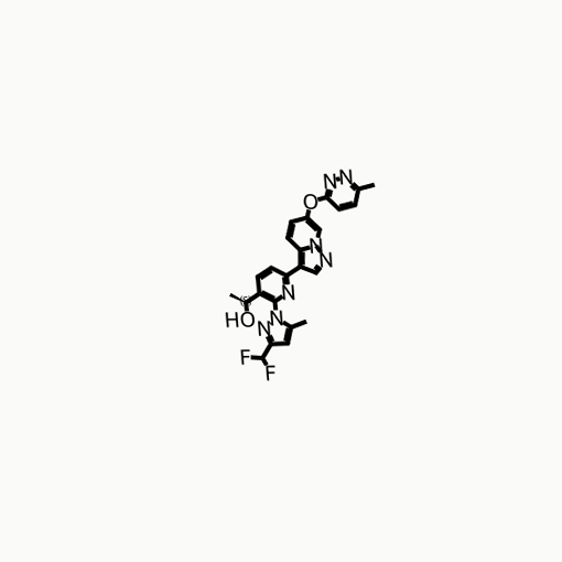 Cc1ccc(Oc2ccc3c(-c4ccc([C@H](C)O)c(-n5nc(C(F)F)cc5C)n4)cnn3c2)nn1